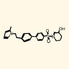 Cc1cccn1CCc1ccc(-c2ccc(S(=O)(=O)N3CCCC(O)C3)cc2)cc1